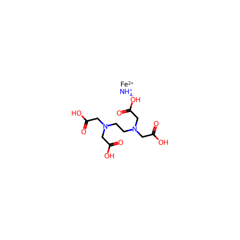 O=C(O)CN(CCN(CC(=O)O)CC(=O)O)CC(=O)O.[Fe+2].[NH4+]